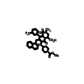 CN1CC(C(=O)O)n2c(c(-c3cccc(C(F)(F)F)c3)c(Cc3cccc4ccccc34)c(NC3CCN(C(=O)OC(C)(C)C)CC3)c2=O)S1(=O)=O